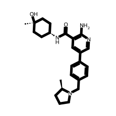 C[C@@H]1CCCN1Cc1ccc(-c2cnc(N)c(C(=O)N[C@H]3CC[C@](C)(O)CC3)c2)cc1